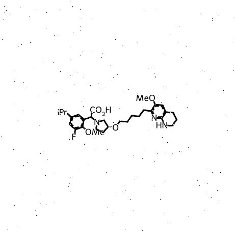 COc1cc2c(nc1CCCCCO[C@@H]1CCN([C@H](C(=O)O)c3cc(C(C)C)cc(F)c3OC)C1)NCCC2